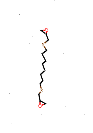 C(CCCCSCC1CO1)CCCSCC1CO1